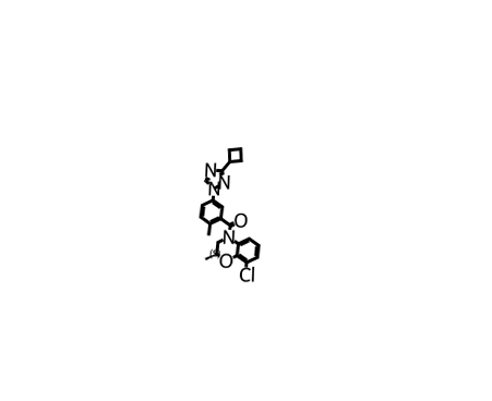 Cc1ccc(-n2cnc(C3CCC3)n2)cc1C(=O)N1C[C@H](C)Oc2c(Cl)cccc21